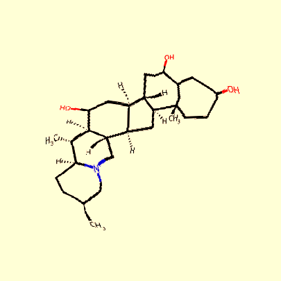 C[C@H]1CC[C@H]2[C@H](C)[C@H]3C(O)C[C@@H]4[C@@H](C[C@H]5[C@H]4CC(O)C4CC(O)CC[C@@]45C)[C@@H]3CN2C1